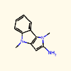 Cn1c(N)cc2c1c1ccccc1n2C